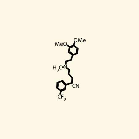 COc1ccc(CCN(C)CCCC(C#N)c2cccc(C(F)(F)F)c2)cc1OC